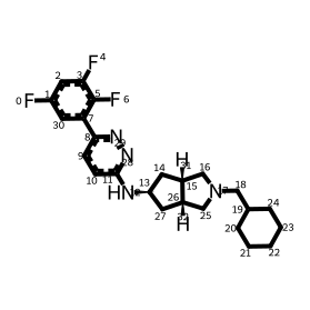 Fc1cc(F)c(F)c(-c2ccc(N[C@H]3C[C@@H]4CN(CC5CCCCC5)C[C@@H]4C3)nn2)c1